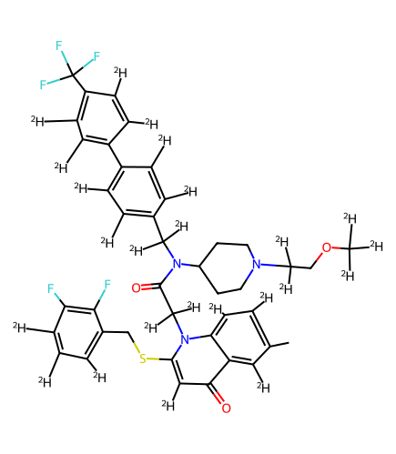 [2H]c1c([2H])c(F)c(F)c(CSc2c([2H])c(=O)c3c([2H])c(C)c([2H])c([2H])c3n2C([2H])([2H])C(=O)N(C2CCN(C([2H])([2H])COC([2H])([2H])[2H])CC2)C([2H])([2H])c2c([2H])c([2H])c(-c3c([2H])c([2H])c(C(F)(F)F)c([2H])c3[2H])c([2H])c2[2H])c1[2H]